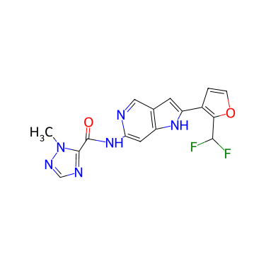 Cn1ncnc1C(=O)Nc1cc2[nH]c(-c3ccoc3C(F)F)cc2cn1